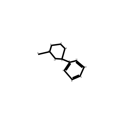 CC1CCCC(c2ccccc2)C1